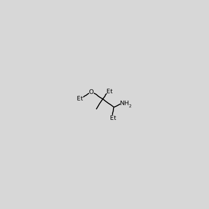 CCOC(C)(CC)C(N)CC